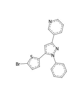 Brc1ccc(-c2cc(-c3cccnc3)nn2-c2ccccc2)s1